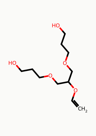 C=COC(COCCCO)COCCCO